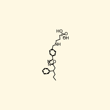 CCCC(Cc1nnc(-c2ccc(CNCCCP(=O)(O)O)cc2)o1)c1ccccc1